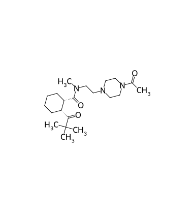 CC(=O)N1CCN(CCN(C)C(=O)[C@H]2CCCC[C@H]2C(=O)C(C)(C)C)CC1